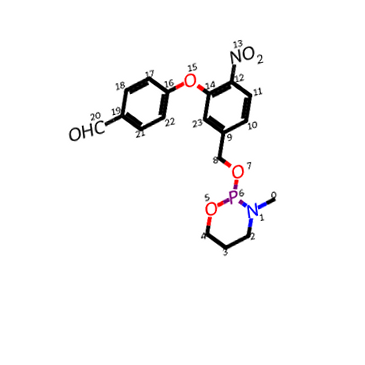 CN1CCCOP1OCc1ccc([N+](=O)[O-])c(Oc2ccc(C=O)cc2)c1